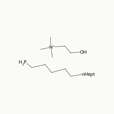 CCCCCCCCCCCCP.C[N+](C)(C)CCO